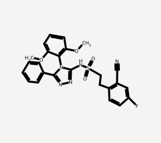 COc1cccc(OC)c1-n1c(NS(=O)(=O)CCc2ccc(F)cc2C#N)nnc1-c1ccccc1